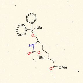 COC(=O)CCCCCC(CO[Si](c1ccccc1)(c1ccccc1)C(C)(C)C)NC(=O)OC(C)(C)C